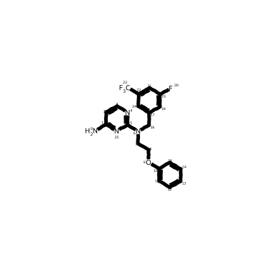 Nc1ccnc(N(CCOc2ccccc2)Cc2cc(F)cc(C(F)(F)F)c2)n1